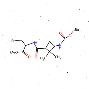 COC(=O)C(CC(C)C)NC(=O)[C@H]1C[C@@H](NC(=O)OC(C)(C)C)C1(C)C